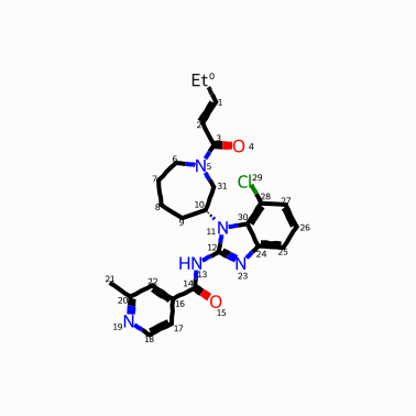 CC/C=C/C(=O)N1CCCC[C@@H](n2c(NC(=O)c3ccnc(C)c3)nc3cccc(Cl)c32)C1